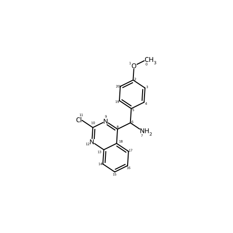 COc1ccc(C(N)c2nc(Cl)nc3ccccc23)cc1